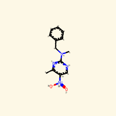 Cc1nc(N(C)Cc2ccccc2)ncc1[N+](=O)[O-]